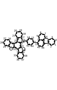 c1ccc2c(c1)-c1cccc3c(-c4ccc(-n5c6ccccc6c6c7c8ccccc8oc7c7c8ccccc8oc7c65)cc4)ccc-2c13